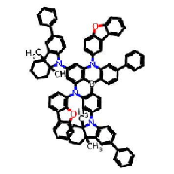 CC12CCCCC1(C)N(c1ccc3c(c1)N(c1cccc4c1oc1ccccc14)c1cc(N4c5ccc(-c6ccccc6)cc5C5(C)CCCCC45C)cc4c1B3c1ccc(-c3ccccc3)cc1N4c1ccc3oc4ccccc4c3c1)c1ccc(-c3ccccc3)cc12